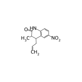 C=CCC1c2cc([N+](=O)[O-])ccc2NC(=O)C1C